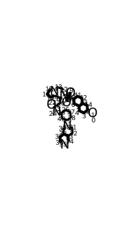 COc1ccc2cc(S(=O)(=O)N3CCn4cccc4C3CC(=O)N(C)C3CCCC(N4CCc5cnccc5C4)C3)ccc2c1